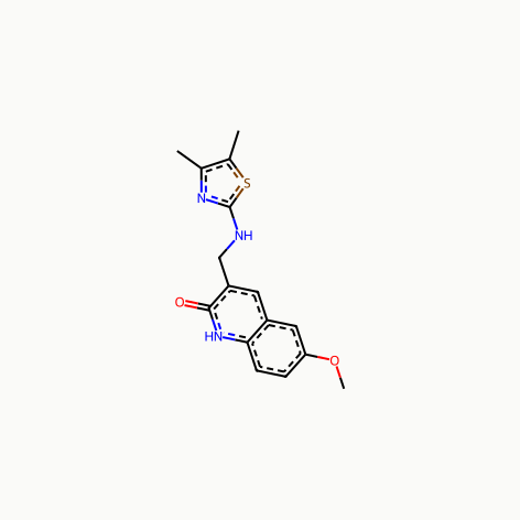 COc1ccc2[nH]c(=O)c(CNc3nc(C)c(C)s3)cc2c1